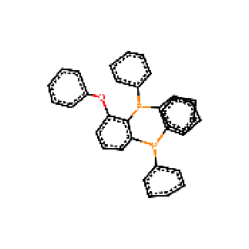 c1ccc(Oc2cccc(P(c3ccccc3)c3ccccc3)c2P(c2ccccc2)c2ccccc2)cc1